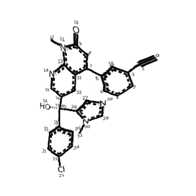 C#Cc1cccc(-c2cc(=O)n(C)c3ncc([C@](O)(c4ccc(Cl)cc4)c4cncn4C)cc23)c1